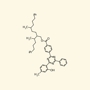 Cc1ccc(-c2nc(-c3ccccc3)nc(-c3ccc(C(=O)OCC(CCC(C)CCCC(C)C)C(C)CCCC(C)C)cc3)n2)c(O)c1